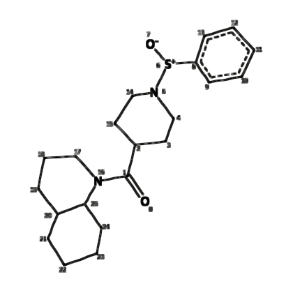 O=C(C1CCN([S+]([O-])c2ccccc2)CC1)N1CCCC2CCCCC21